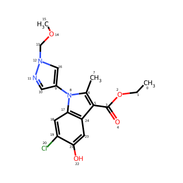 CCOC(=O)c1c(C)n(-c2cnn(COC)c2)c2cc(Cl)c(O)cc12